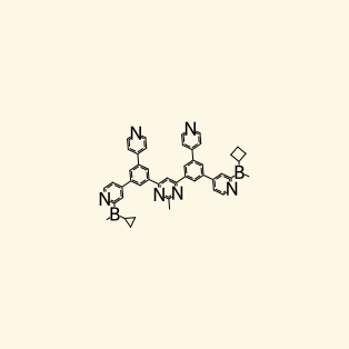 CB(c1cc(-c2cc(-c3ccncc3)cc(-c3cc(-c4cc(-c5ccncc5)cc(-c5ccnc(B(C)C6CC6)c5)c4)nc(C)n3)c2)ccn1)C1CCC1